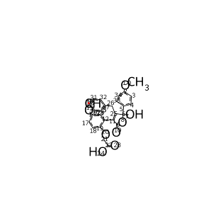 COc1ccc(C2(O)OC(=O)C(c3cc(OC)ccc3OCC(=O)O)=C2Cc2ccccc2)cc1